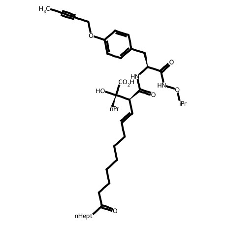 CC#CCOc1ccc(C[C@H](NC(=O)[C@@H](/C=C/CCCCCCC(=O)CCCCCCC)[C@@](O)(CCC)C(=O)O)C(=O)NOC(C)C)cc1